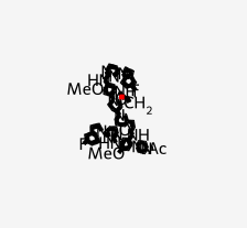 C=CC(=O)Nc1cc(Nc2nccc(-n3ccc4cc(F)ccc43)n2)c(OC)cc1N1CCC(N2CCCC(/C=C\C(=O)Nc3cc(Nc4nccc(-n5ccc6cc(F)ccc65)n4)c(OC)cc3N3CCN(C(C)=O)CC3)C2)CC1